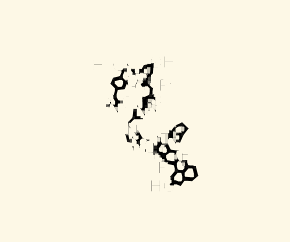 CCc1cccc2cc(O)cc(-c3ncc4c(N5CC6CCC(C5)N6)nc(OC[C@@H]5CN(CC6CN(c7cc([C@H](C(=O)N8C[C@H](O)C[C@H]8C(=O)N[C@@H](C)c8ccc(-c9scnc9C)cc8)C(C)C)on7)C6)CCN5C)nc4c3F)c12